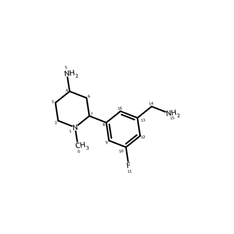 CN1CCC(N)CC1c1cc(F)cc(CN)c1